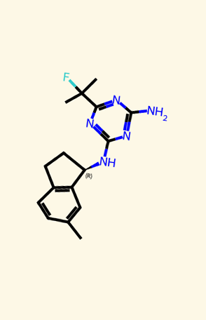 Cc1ccc2c(c1)[C@H](Nc1nc(N)nc(C(C)(C)F)n1)CC2